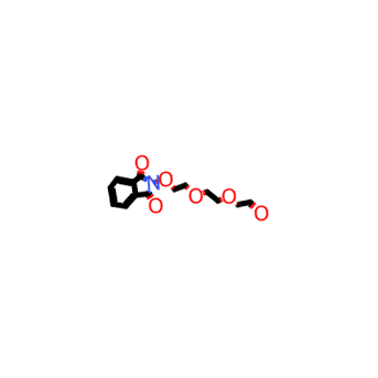 O=CCOCCOCCON1C(=O)c2ccccc2C1=O